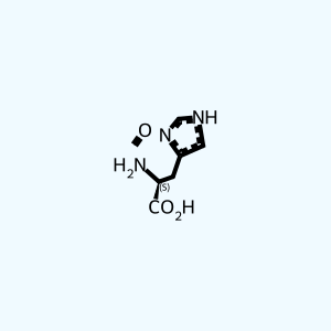 C=O.N[C@@H](Cc1c[nH]cn1)C(=O)O